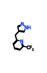 FC(F)(F)c1cccc(Cc2cn[nH]c2)n1